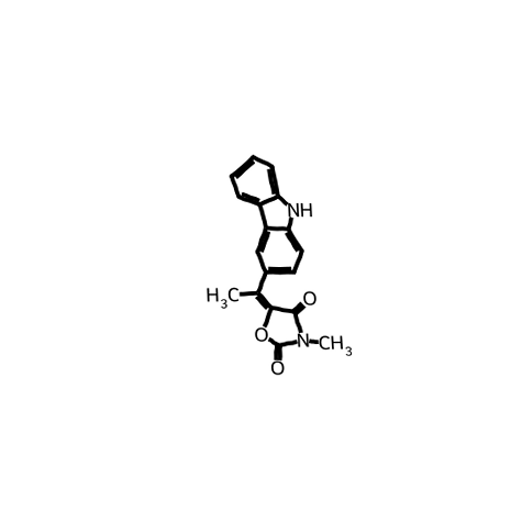 C/C(=C1\OC(=O)N(C)C1=O)c1ccc2[nH]c3ccccc3c2c1